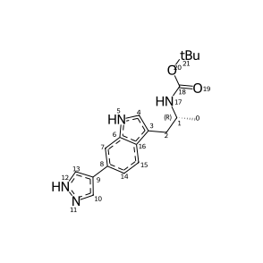 C[C@H](Cc1c[nH]c2cc(-c3cn[nH]c3)ccc12)NC(=O)OC(C)(C)C